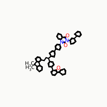 CC1(C)c2ccccc2-c2c(CCC(c3ccc(-c4ccc(-n5c(=O)n(-c6cccc(-c7ccccc7)c6)c(=O)c6ccccc65)cc4)cc3)c3ccc(-c4cccc5c4oc4ccccc45)cc3)cccc21